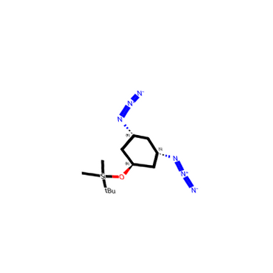 CC(C)(C)[Si](C)(C)O[C@H]1C[C@H](N=[N+]=[N-])C[C@H](N=[N+]=[N-])C1